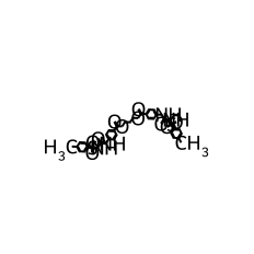 Cc1ccc(S(=O)(=O)NC(=O)Nc2ccc(C(=O)OCCCOC(=O)c3ccc(NC(=O)NS(=O)(=O)c4ccc(C)cc4)cc3)cc2)cc1